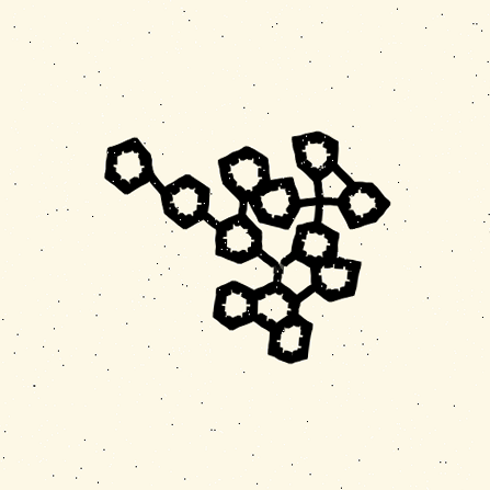 c1ccc(-c2ccc(-c3ccc(N(c4cccc(C5(c6ccccc6)c6ccccc6-c6ccccc65)c4)c4c(-c5ccccc5)c5ccccc5c5ccccc45)cc3-c3ccccc3)cc2)cc1